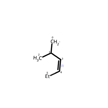 [CH2]C(C)/C=C\CC